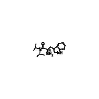 CC(C)N(C(=O)[C@H](N)Cc1c[nH]c2ccccc12)C(C)C